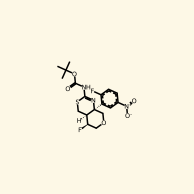 CC(C)(C)OC(=O)NC1=N[C@@]2(c3cc([N+](=O)[O-])ccc3F)COC[C@@H](F)[C@H]2CS1